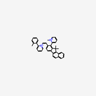 Cc1ccccc1-c1cccc[n+]1/C=C\c1ccc2c(c1-c1cccc[n+]1C)C(C)(C)c1c-2ccc2ccccc12